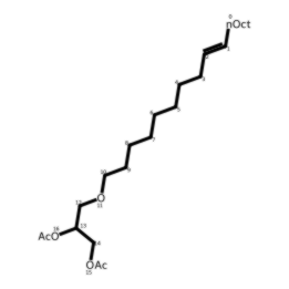 CCCCCCCCC=CCCCCCCCCOCC(COC(C)=O)OC(C)=O